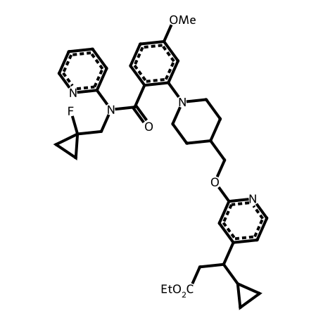 CCOC(=O)CC(c1ccnc(OCC2CCN(c3cc(OC)ccc3C(=O)N(CC3(F)CC3)c3ccccn3)CC2)c1)C1CC1